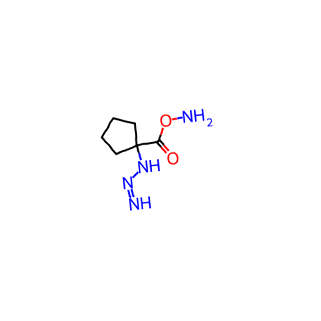 N=NNC1(C(=O)ON)CCCC1